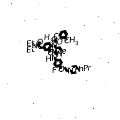 CCCN1CCN(CCOc2ccc(Nc3nccc(N(C(=O)Oc4c(C)cccc4C)c4ccc(CC(=O)N(CC)CC)cc4OC)n3)cc2F)CC1